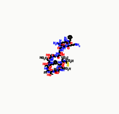 CC[C@H](C)[C@H](NC(=O)[C@@H](NC(=O)[C@H](CC(C)C)NC(=O)[C@@H](NC(=O)[C@H](Cc1ccccc1)NC(=O)[C@H](CCC(=O)O)NC(=O)[C@@H](NC(=O)CNC(=O)[C@H](CO)NC(=O)CNC(=O)[C@H](CO)NC(=O)CNC(=O)[C@H](CCCCN)NC(=O)[C@H](Cc1ccccc1)NC(=O)[C@@H](N)CCCNC(=N)N)[C@@H](C)O)[C@@H](C)O)[C@@H](C)O)C(=O)N[C@@H](CO)C(=O)N[C@@H](CC(=O)O)C(=O)N[C@@H](CC(C)C)C(=O)N[C@@H](CCC(=O)O)C(=O)N[C@@H](CS)C(=O)O